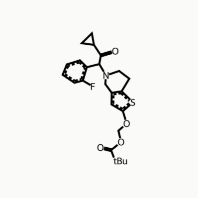 CC(C)(C)C(=O)OCOc1cc2c(s1)CCN(C(C(=O)C1CC1)c1ccccc1F)C2